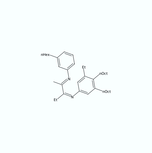 CCCCCCCCc1cc(N=C(CC)C(C)=Nc2cccc(CCCCCC)c2)cc(CC)c1CCCCCCCC